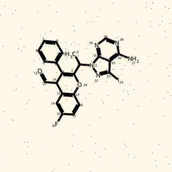 CC(C1=C(c2ccccc2)C(C=O)c2cc(F)ccc2O1)n1nc(I)c2c(N)ncnc21